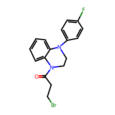 O=C(CCBr)N1CCN(c2ccc(F)cc2)c2ccccc21